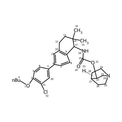 CCCCOc1ccc(-c2ccc3c(c2)CCC(C)(C)C3NC(=O)O[C@H]2CN3CCC2CC3)cc1Cl